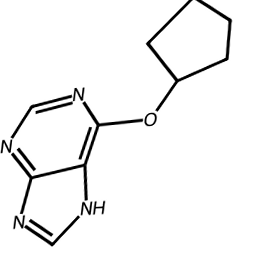 c1nc(OC2CCCC2)c2[nH]cnc2n1